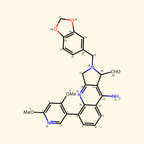 COc1cc(OC)c(-c2cccc3c(N)c4c(nc23)CN(Cc2ccc3c(c2)OCO3)C4C=O)cn1